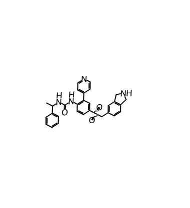 CC(NC(=O)Nc1ccc(S(=O)(=O)Cc2ccc3c(c2)CNC3)cc1-c1ccncc1)c1ccccc1